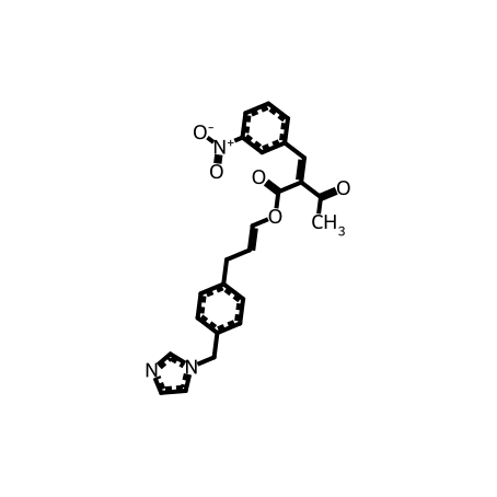 CC(=O)C(=Cc1cccc([N+](=O)[O-])c1)C(=O)OC=CCc1ccc(Cn2ccnc2)cc1